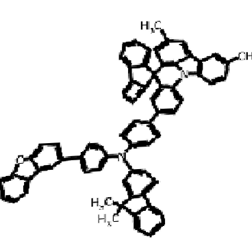 Cc1ccc2c(c1)c1cc(C)cc3c1n2-c1ccc(-c2ccc(N(c4ccc(-c5ccc6oc7ccccc7c6c5)cc4)c4ccc5c(c4)C(C)(C)c4ccccc4-5)cc2)cc1C31c2ccccc2-c2ccccc21